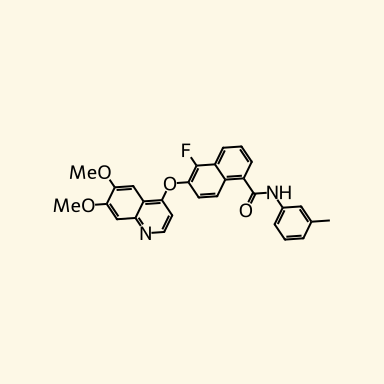 COc1cc2nccc(Oc3ccc4c(C(=O)Nc5cccc(C)c5)cccc4c3F)c2cc1OC